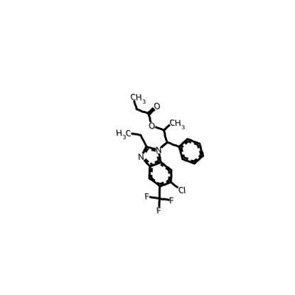 CCC(=O)OC(C)C(c1ccccc1)n1c(CC)nc2cc(C(F)(F)F)c(Cl)cc21